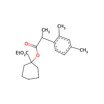 CCOC(=O)C1(OC(=O)C(C)c2ccc(C)cc2C)CCCCC1